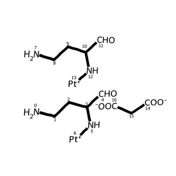 NCCC(C=O)[NH][Pt+].NCCC(C=O)[NH][Pt+].O=C([O-])CC(=O)[O-]